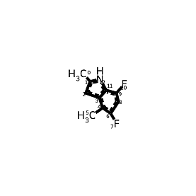 Cc1cc2c(C)c(F)cc(F)c2[nH]1